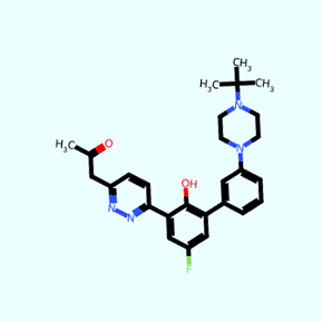 CC(=O)Cc1ccc(-c2cc(F)cc(-c3cccc(N4CCN(C(C)(C)C)CC4)c3)c2O)nn1